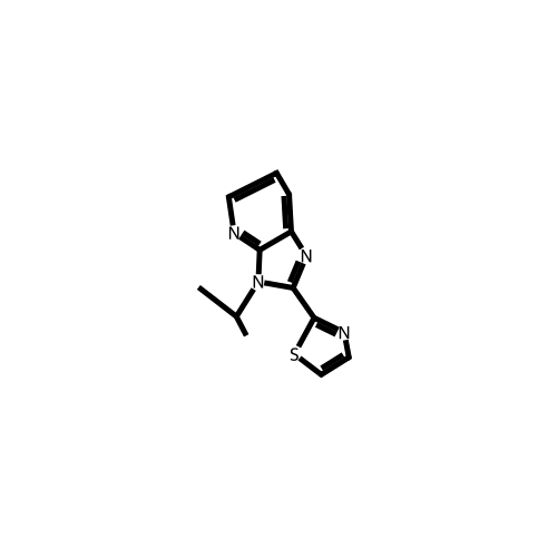 CC(C)n1c(-c2nccs2)nc2cccnc21